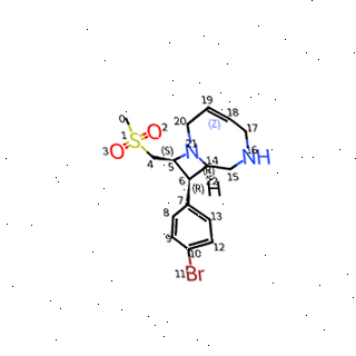 CS(=O)(=O)C[C@@H]1[C@H](c2ccc(Br)cc2)[C@@H]2CNC/C=C\CN12